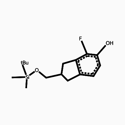 CC(C)(C)[Si](C)(C)OCC1Cc2ccc(O)c(F)c2C1